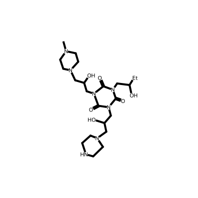 CCC(O)Cn1c(=O)n(CC(O)CN2CCNCC2)c(=O)n(CC(O)CN2CCN(C)CC2)c1=O